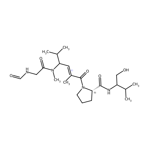 C/C(=C\C(C(C)C)N(C)C(=O)CNC=O)C(=O)N1CCC[C@H]1C(=O)NC(CO)C(C)C